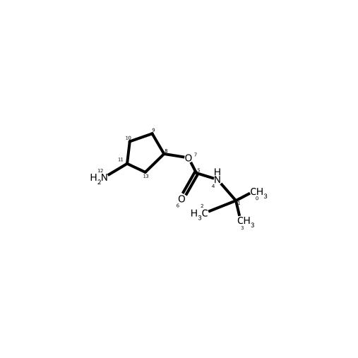 CC(C)(C)NC(=O)OC1CCC(N)C1